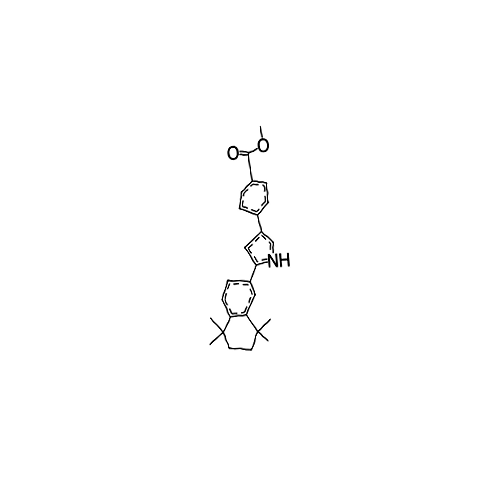 COC(=O)c1ccc(-c2c[nH]c(-c3ccc4c(c3)C(C)(C)CCC4(C)C)c2)cc1